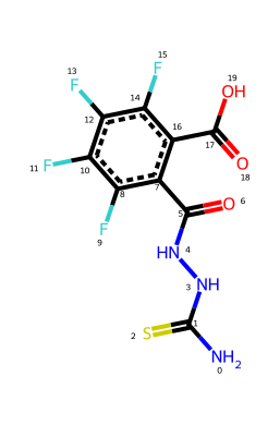 NC(=S)NNC(=O)c1c(F)c(F)c(F)c(F)c1C(=O)O